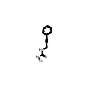 CC(C)(C)NC(=O)NCC#Cc1ccccc1